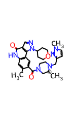 Cc1cc2[nH]c(=O)c3cnn(C4CCOCC4)c3c2cc1C(=O)N1CCN(Cc2ccn(C)n2)[C@@H](C)C1